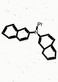 CC(C)N(C1=CC2CC=CC=C2C=C1)c1ccc2ccccc2c1